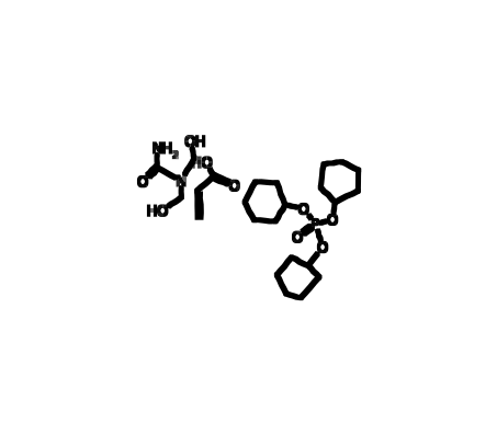 C=CC(=O)O.NC(=O)N(CO)CO.O=P(OC1CCCCC1)(OC1CCCCC1)OC1CCCCC1